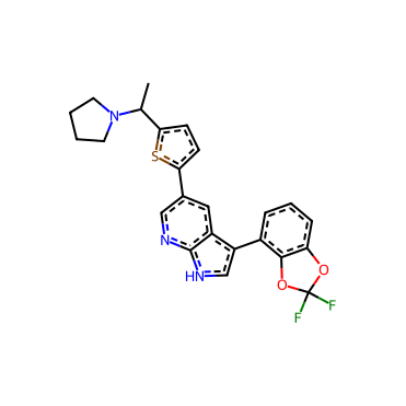 CC(c1ccc(-c2cnc3[nH]cc(-c4cccc5c4OC(F)(F)O5)c3c2)s1)N1CCCC1